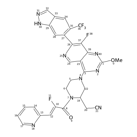 COc1nc(N2CCN(C(=O)/C(F)=C/c3ccccn3)C(CC#N)C2)c2cnc(-c3cc4[nH]ncc4cc3C(F)(F)F)c(F)c2n1